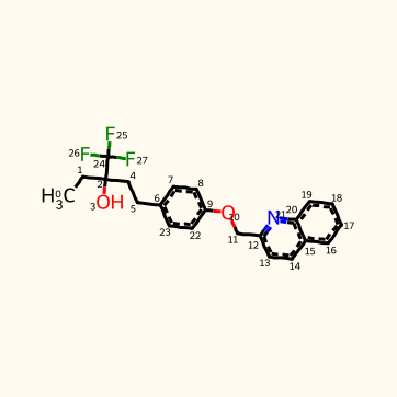 CCC(O)(CCc1ccc(OCc2ccc3ccccc3n2)cc1)C(F)(F)F